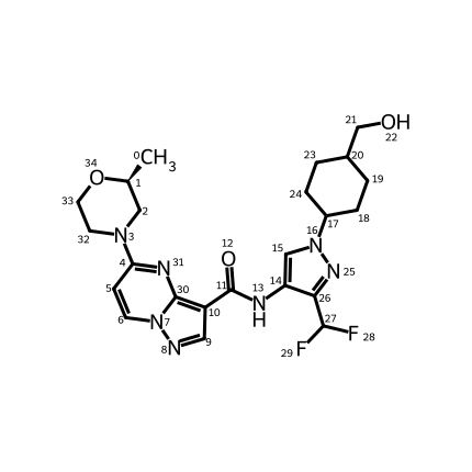 C[C@H]1CN(c2ccn3ncc(C(=O)Nc4cn(C5CCC(CO)CC5)nc4C(F)F)c3n2)CCO1